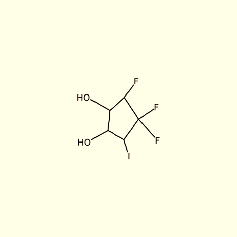 OC1C(O)C(I)C(F)(F)C1F